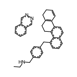 CCNCc1ccc(Cc2cccc3ccc4c(c23)CCC2=C4C=CCC2)cc1.c1ccc2cnncc2c1